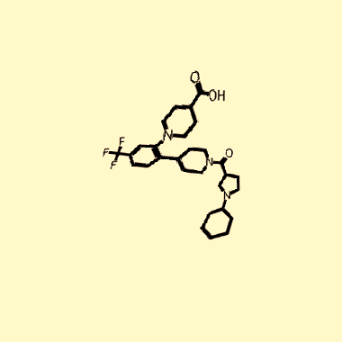 O=C(O)C1CCN(c2cc(C(F)(F)F)ccc2C2CCN(C(=O)C3CCN(C4CCCCC4)C3)CC2)CC1